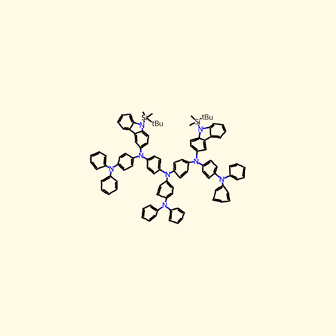 CC(C)(C)[Si](C)(C)n1c2ccccc2c2cc(N(c3ccc(N(c4ccccc4)c4ccccc4)cc3)c3ccc(N(c4ccc(N(c5ccccc5)c5ccccc5)cc4)c4ccc(N(c5ccc(N(c6ccccc6)c6ccccc6)cc5)c5ccc6c(c5)c5ccccc5n6[Si](C)(C)C(C)(C)C)cc4)cc3)ccc21